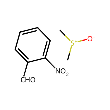 C[S+](C)[O-].O=Cc1ccccc1[N+](=O)[O-]